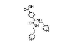 O=C(O)c1ccc(C(NCCc2ccncc2)C(=O)NCCc2ccncc2)cc1